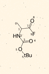 CC(NC(=O)OC(C)(C)C)C(=O)F